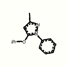 Cc1cc(OC(C)C)n(-c2ccccc2)n1